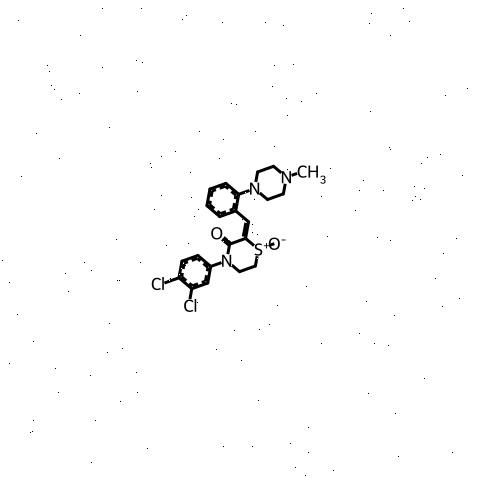 CN1CCN(c2ccccc2C=C2C(=O)N(c3ccc(Cl)c(Cl)c3)CC[S+]2[O-])CC1